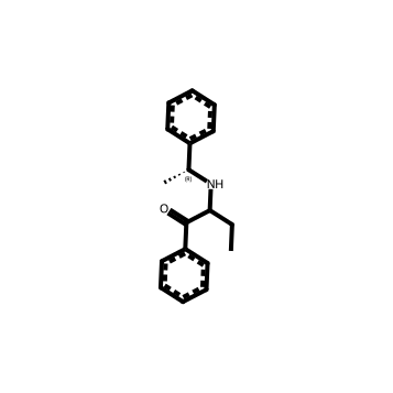 CCC(N[C@H](C)c1ccccc1)C(=O)c1ccccc1